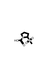 CS(=O)(=O)C1CCCN1C(=O)O